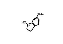 COc1ccc2c(c1)[C@H](O)CCC2